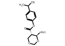 CCCCCCCC[C@H]1OCOC[C@@H]1C(=O)Oc1ccc(C(C)C#N)cc1